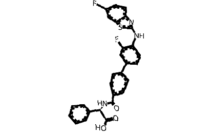 O=C(N[C@H](C(=O)O)c1ccccc1)c1ccc(-c2ccc(Nc3nc4ccc(F)cc4s3)c(F)c2)cc1